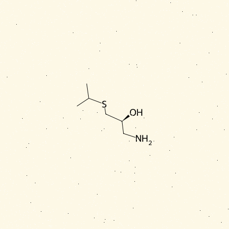 CC(C)SC[C@@H](O)CN